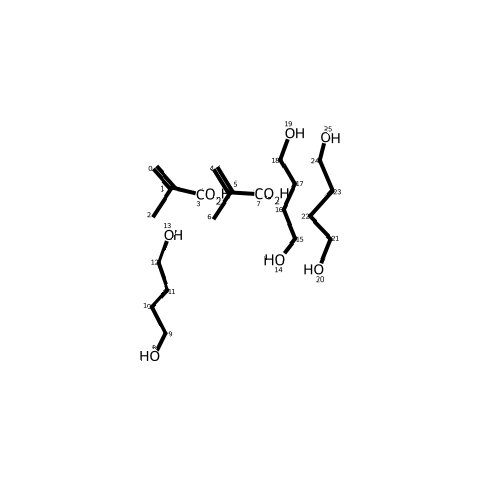 C=C(C)C(=O)O.C=C(C)C(=O)O.OCCCCO.OCCCCO.OCCCCO